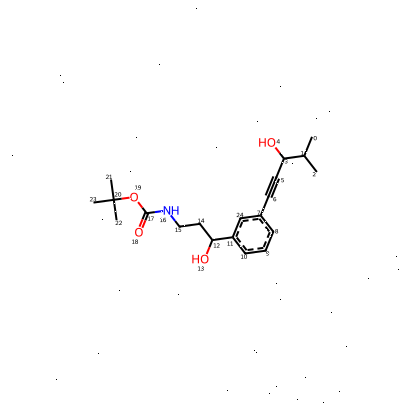 CC(C)C(O)C#Cc1cccc(C(O)CCNC(=O)OC(C)(C)C)c1